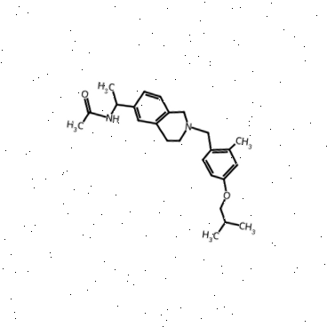 CC(=O)NC(C)c1ccc2c(c1)CCN(Cc1ccc(OCC(C)C)cc1C)C2